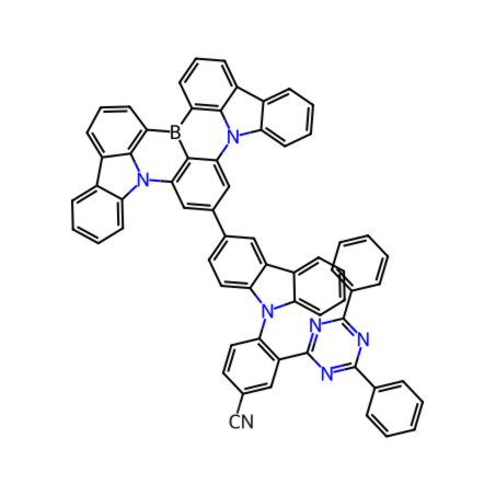 N#Cc1ccc(-n2c3ccccc3c3cc(-c4cc5c6c(c4)-n4c7ccccc7c7cccc(c74)B6c4cccc6c7ccccc7n-5c46)ccc32)c(-c2nc(-c3ccccc3)nc(-c3ccccc3)n2)c1